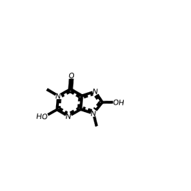 Cn1c(O)nc2c(nc(O)n2C)c1=O